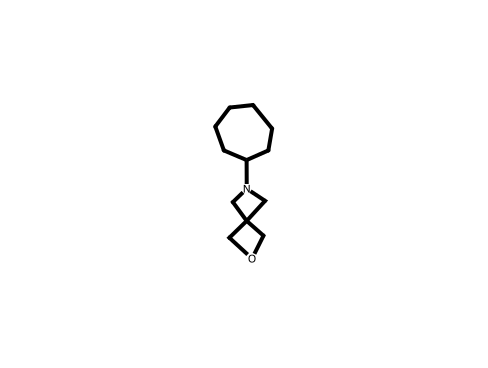 C1CCCC(N2CC3(COC3)C2)CC1